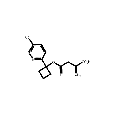 C=C(CC(=O)OC1(c2ccc(C(F)(F)F)nn2)CCC1)C(=O)O